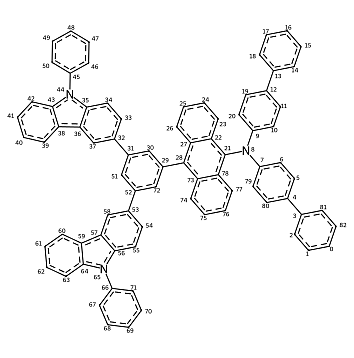 c1ccc(-c2ccc(N(c3ccc(-c4ccccc4)cc3)c3c4ccccc4c(-c4cc(-c5ccc6c(c5)c5ccccc5n6-c5ccccc5)cc(-c5ccc6c(c5)c5ccccc5n6-c5ccccc5)c4)c4ccccc34)cc2)cc1